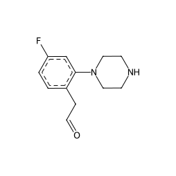 O=CCc1ccc(F)cc1N1CCNCC1